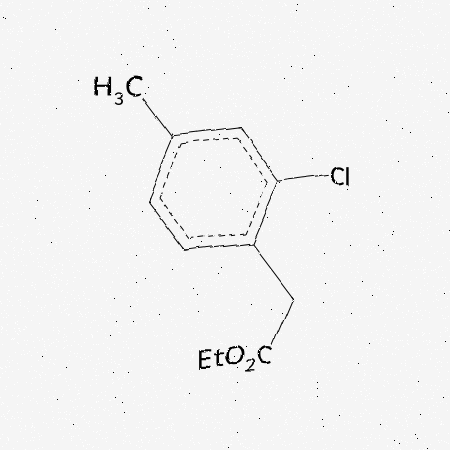 CCOC(=O)Cc1ccc(C)cc1Cl